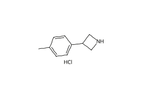 Cc1ccc(C2CNC2)cc1.Cl